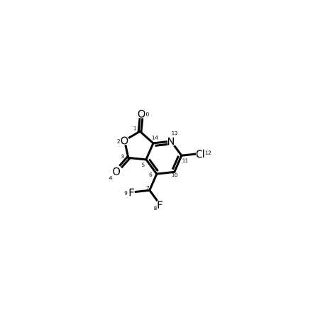 O=C1OC(=O)c2c(C(F)F)cc(Cl)nc21